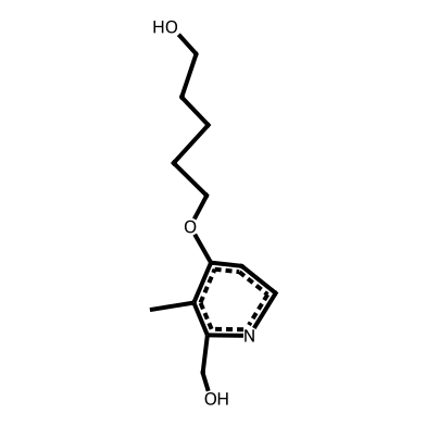 Cc1c(OCCCCCO)ccnc1CO